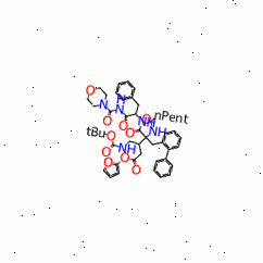 CCCCCC(=O)NC(Cc1ccccc1-c1ccccc1)(C(=O)NC(Cc1ccccc1)C(=O)NC(=O)N1CCOCC1)C(CNC(=O)OC(C)(C)C)CC(=O)Oc1ccco1